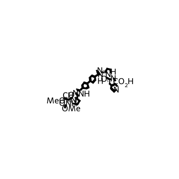 COC(=O)N[C@H](C(=O)N1CCCC1c1ncc(-c2ccc(-c3ccc(-c4cnc([C@@H]5CCCN5C(=O)[C@H](Cc5ccncc5)NC(=O)O)[nH]4)cc3)cc2)[nH]1)[C@@H](C)OC